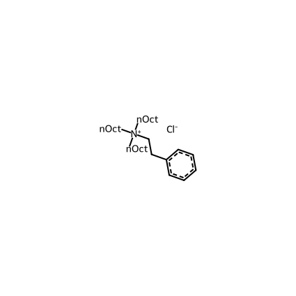 CCCCCCCC[N+](CCCCCCCC)(CCCCCCCC)CCc1ccccc1.[Cl-]